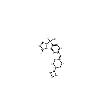 Cn1cc(C(C)(O)c2ccc(C=C3CCN(C4CCC4)CC3)cc2)cn1